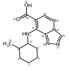 CC1CCCCC1Nc1c(C(=O)O)cnn2cnnc12